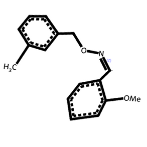 COc1ccccc1/[C]=N\OCc1cccc(C)c1